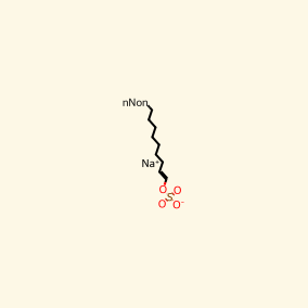 CCCCCCCCCCCCCCCCC=COS(=O)(=O)[O-].[Na+]